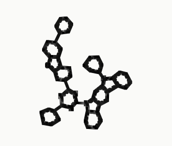 c1ccc(-c2ccc3oc4cc(-c5nc(-c6ccccc6)nc(-n6c7ccccc7c7cc8c9ccccc9n(-c9ccccc9)c8cc76)n5)ccc4c3c2)cc1